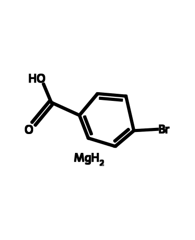 O=C(O)c1ccc(Br)cc1.[MgH2]